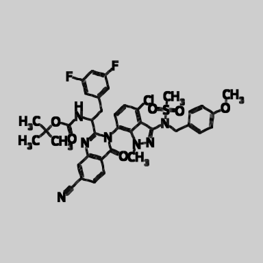 COc1ccc(CN(c2nn(C)c3c(-n4c(C(Cc5cc(F)cc(F)c5)NC(=O)OC(C)(C)C)nc5cc(C#N)ccc5c4=O)ccc(Cl)c23)S(C)(=O)=O)cc1